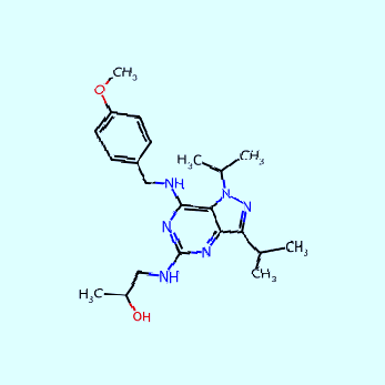 COc1ccc(CNc2nc(NCC(C)O)nc3c(C(C)C)nn(C(C)C)c23)cc1